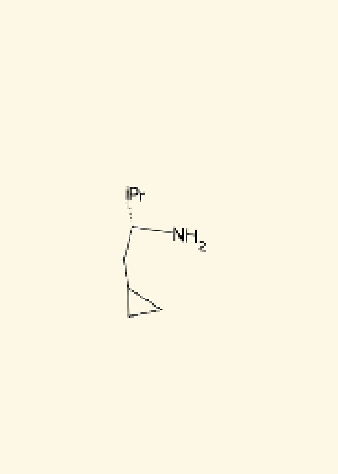 CC(C)[C@H](N)CC1CC1